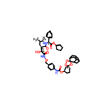 CC(C)C[C@@H](C(=O)N[C@H](C(=O)OC1CCCC1)c1ccccc1)[C@H](O)C(=O)NOCc1ccc(NC(=O)OC2CCC[C@]3(C2)OOC2(O3)C3CC4CC(C3)CC2C4)cc1